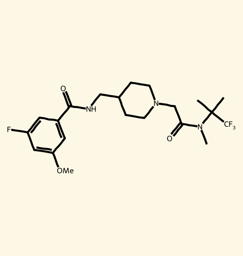 COc1cc(F)cc(C(=O)NCC2CCN(CC(=O)N(C)C(C)(C)C(F)(F)F)CC2)c1